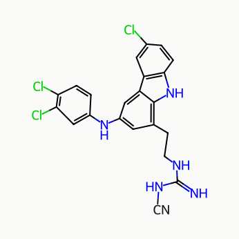 N#CNC(=N)NCCc1cc(Nc2ccc(Cl)c(Cl)c2)cc2c1[nH]c1ccc(Cl)cc12